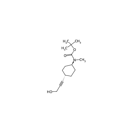 CN(C(=O)OC(C)(C)C)[C@H]1CC[C@H](C#CCO)CC1